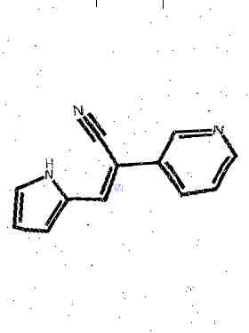 N#C/C(=C\c1ccc[nH]1)c1cccnc1